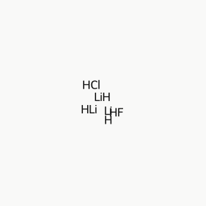 Cl.F.[LiH].[LiH].[LiH]